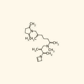 C=C(CCCC(=C)N(C)CC(=C)C(=C)N1C=CC1)CN1C(=C)CCC1=C